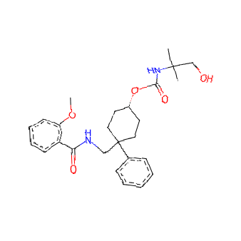 COc1ccccc1C(=O)NCC1(c2ccccc2)CCC(OC(=O)NC(C)(C)CO)CC1